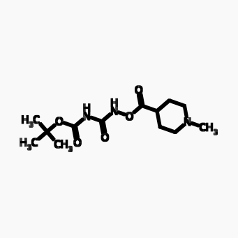 CN1CCC(C(=O)ONC(=O)NC(=O)OC(C)(C)C)CC1